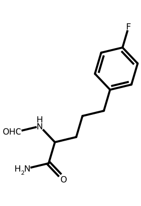 NC(=O)C(CCCc1ccc(F)cc1)NC=O